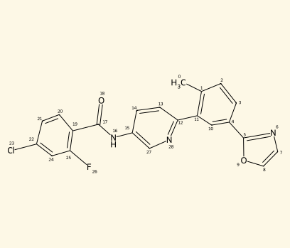 Cc1ccc(-c2ncco2)cc1-c1ccc(NC(=O)c2ccc(Cl)cc2F)cn1